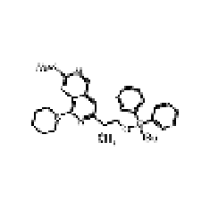 CSc1ncc2cc([C@@H](C)CO[Si](c3ccccc3)(c3ccccc3)C(C)(C)C)nc(N3CCCCC3)c2n1